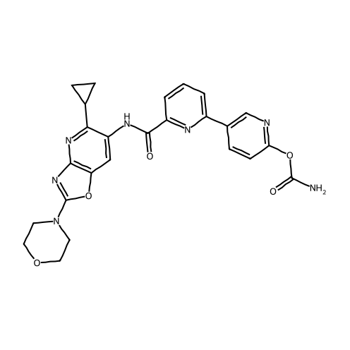 NC(=O)Oc1ccc(-c2cccc(C(=O)Nc3cc4oc(N5CCOCC5)nc4nc3C3CC3)n2)cn1